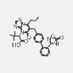 CCCc1c(Cc2ccc(-c3ccccc3-c3noc(=O)[nH]3)cc2)c(=O)n(C(C(=O)O)C(C)(C)C)c2ncnn12